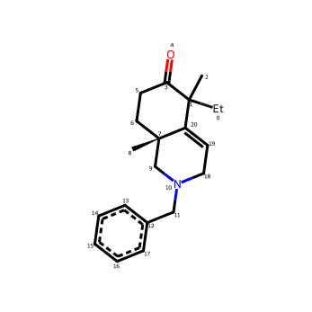 CCC1(C)C(=O)CC[C@@]2(C)CN(Cc3ccccc3)CC=C12